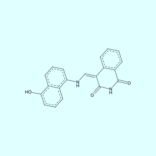 O=C1NC(=O)c2ccccc2C1=CNc1cccc2c(O)cccc12